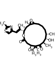 C/C(=C\c1csc(C)n1)[C@@H]1C[C@H]2OC2CCC[C@H](C)[C@H](O)[C@@H](C)C(=O)C(C)(C)[C@@H](O)CC(=O)O1